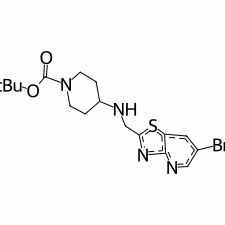 CC(C)(C)OC(=O)N1CCC(NCc2nc3ncc(Br)cc3s2)CC1